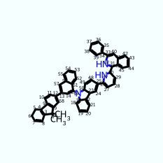 CC1(C)C2=C(CCC=C2)c2ccc(-c3cc(N4c5ccccc5C5C=C(C6=CC=CC(C7NC(c8ccccc8)=Cc8ccccc87)N6)C=CC54)c4ccccc4c3)cc21